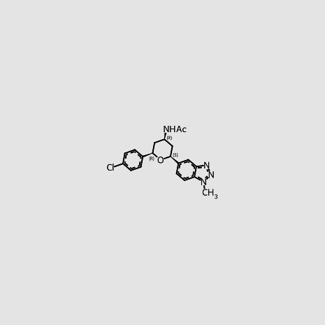 CC(=O)N[C@H]1C[C@@H](c2ccc3c(c2)nnn3C)O[C@@H](c2ccc(Cl)cc2)C1